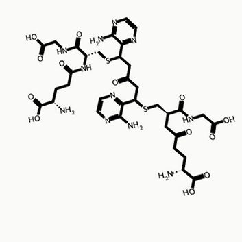 Nc1nccnc1C(CC(=O)CC(SC[C@H](NC(=O)CC[C@H](N)C(=O)O)C(=O)NCC(=O)O)c1nccnc1N)SC[C@H](CC(=O)CC[C@@H](N)C(=O)O)C(=O)NCC(=O)O